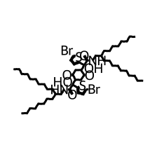 CCCCCCCCCCC(CCCCCCCC)CNC(=O)C(O)(c1ccc(Br)s1)C1CC(=O)C(C(O)(C(=O)NCC(CCCCCCCC)CCCCCCCCCC)c2ccc(Br)s2)CC1=O